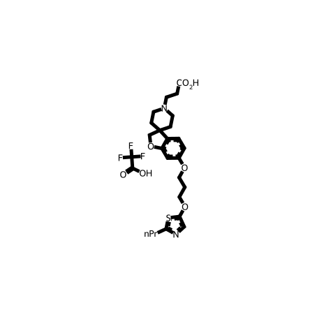 CCCc1ncc(OCCCOc2ccc3c(c2)OCC32CCN(CCC(=O)O)CC2)s1.O=C(O)C(F)(F)F